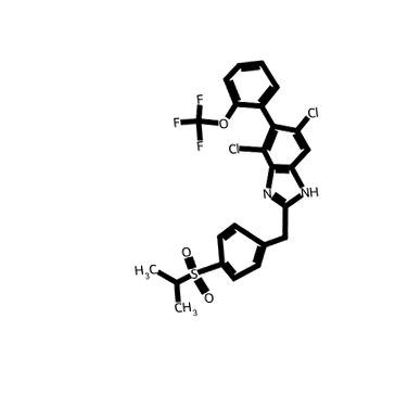 CC(C)S(=O)(=O)c1ccc(Cc2nc3c(Cl)c(-c4ccccc4OC(F)(F)F)c(Cl)cc3[nH]2)cc1